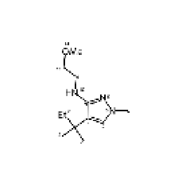 CCC(C)(C)c1cn(C)nc1NCCOC